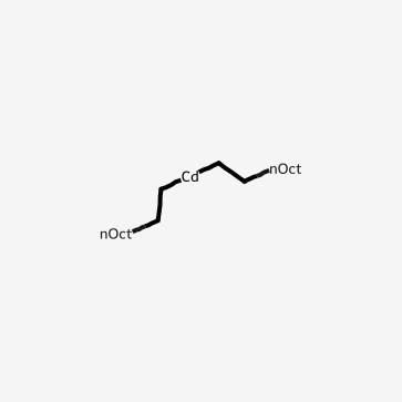 CCCCCCCCC[CH2][Cd][CH2]CCCCCCCCC